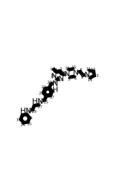 Cc1cc(N2CCN(CCN3CCCC3)CC2)nc(NCc2ccc(CNCCCNC3CCCCC3)cc2)n1